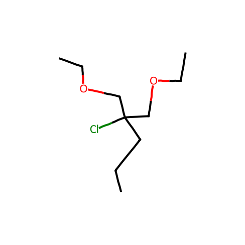 CCCC(Cl)(COCC)COCC